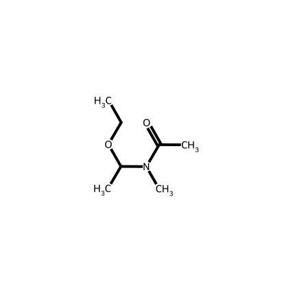 CCOC(C)N(C)C(C)=O